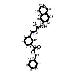 O=C(/C=C/c1cccc(C(=O)OCc2ccccc2)c1)Nc1ccc2cnccc2c1